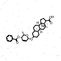 C[C@H]1O[C@@H](OC2CC[C@@]3(C)C(CC[C@@H]4[C@H]3CC[C@]3(C)C(C(=O)O)CC[C@@]43N)C2)C=C[C@@H]1OC(=O)c1ccccc1